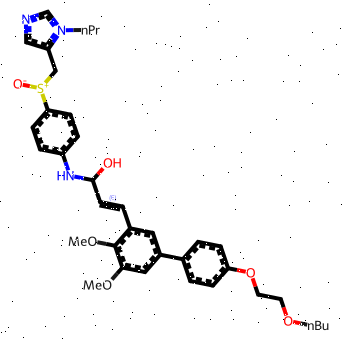 CCCCOCCOc1ccc(-c2cc(/C=C/C(O)Nc3ccc([S+]([O-])Cc4cncn4CCC)cc3)c(OC)c(OC)c2)cc1